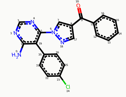 Nc1ncnc(-n2cc(C(=O)c3ccccc3)cn2)c1-c1ccc(Cl)cc1